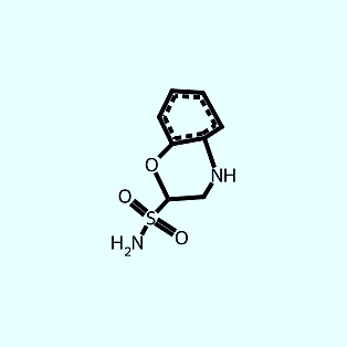 NS(=O)(=O)C1CNc2ccccc2O1